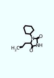 C=CCC1C(=O)NC(=O)N1C1CCCCC1